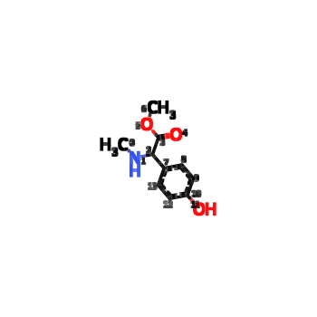 CNC(C(=O)OC)c1ccc(O)cc1